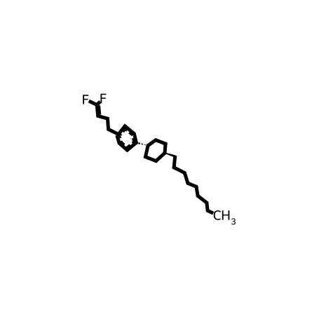 CCCCCCCCC[C@H]1CC[C@H](c2ccc(CCC=C(F)F)cc2)CC1